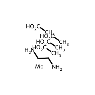 CC(=O)O.CC(=O)O.CC(=O)O.CC(=O)O.NCCN.[Mo]